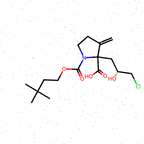 C=C1CCN(C(=O)OCCC(C)(C)C)C1(C[C@@H](O)CCl)C(=O)O